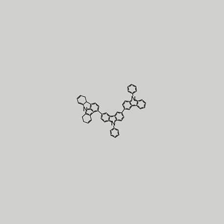 C1=CCC2C(=C1)n1c3c(c4c(-c5ccc6c(c5)c5cc(-c7ccc8c(c7)c7ccccc7n8-c7ccccc7)ccc5n6-c5ccccc5)ccc2c41)C=CCC3